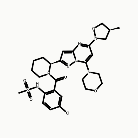 C[C@@H]1CON(c2cc(N3CCOCC3)n3nc([C@@H]4CCCCN4C(=O)c4cc(Cl)ccc4NS(C)(=O)=O)cc3n2)C1